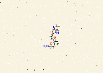 NC[C@@H]1Cc2cccc(-c3ccc(C(=O)Nc4cccnc4)o3)c2O1